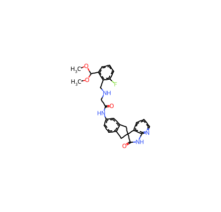 COC(OC)c1cccc(F)c1CNCC(=O)Nc1ccc2c(c1)CC1(C2)C(=O)Nc2ncccc21